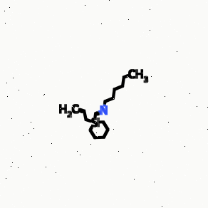 C=CC[Si]1(C=NCCCCCC)CCCCC1